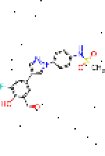 CS(=O)(=O)Nc1ccc(-n2cc(-c3cc(F)c(O)c(C=O)c3)cn2)cc1